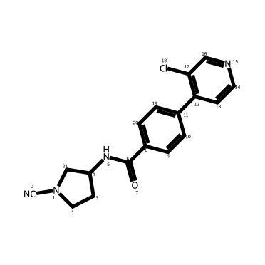 N#CN1CCC(NC(=O)c2ccc(-c3ccncc3Cl)cc2)C1